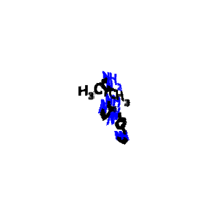 Cc1cc(N)nc(C)c1CNc1nccc2nn(Cc3ccc(Cn4cccn4)cc3)cc12